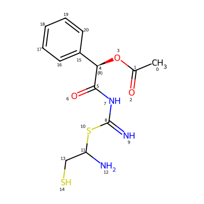 CC(=O)O[C@@H](C(=O)NC(=N)SC(N)CS)c1ccccc1